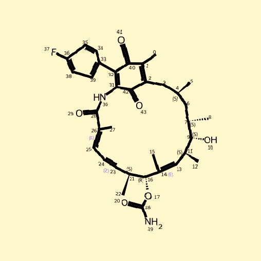 CC1=C2C[C@@H](C)C[C@H](C)[C@H](O)[C@@H](C)/C=C(\C)[C@H](OC(N)=O)[C@@H](C)/C=C\C=C(/C)C(=O)NC(=C(c3ccc(F)cc3)C1=O)C2=O